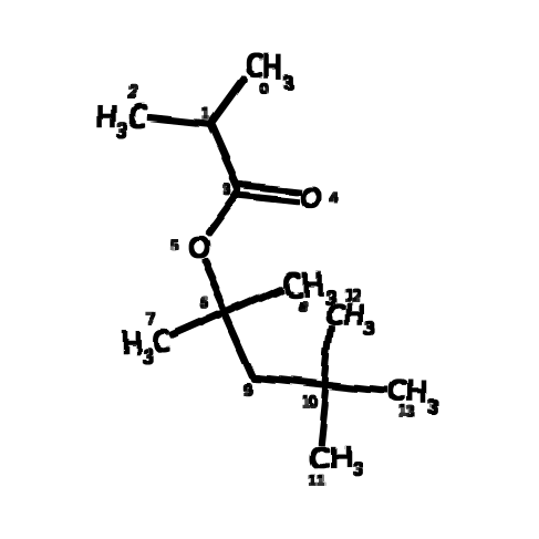 CC(C)C(=O)OC(C)(C)CC(C)(C)C